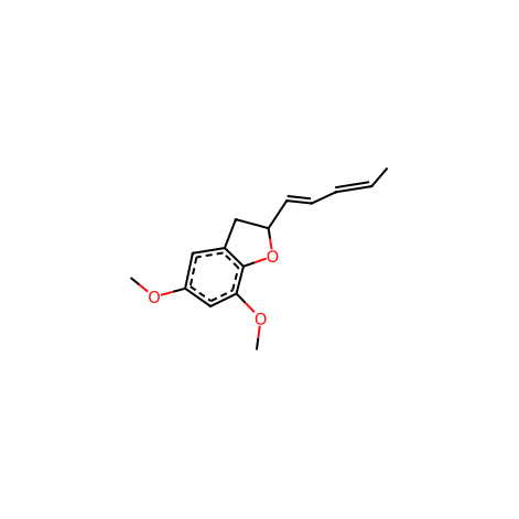 CC=CC=CC1Cc2cc(OC)cc(OC)c2O1